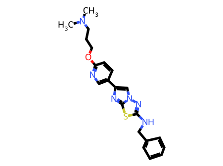 CN(C)CCCOc1ccc(-c2cn3nc(NCc4ccccc4)sc3n2)cn1